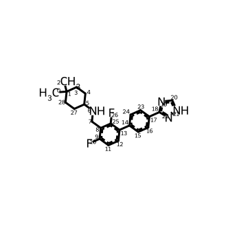 CC1(C)CCC(NCc2c(F)ccc(-c3ccc(-c4nc[nH]n4)cc3)c2F)CC1